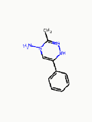 CC1=NNC(c2ccccc2)=CN1N